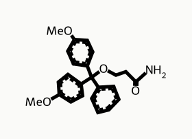 COc1ccc(C(OCCC(N)=O)(c2ccccc2)c2ccc(OC)cc2)cc1